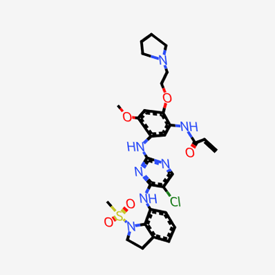 C=CC(=O)Nc1cc(Nc2ncc(Cl)c(Nc3cccc4c3N(S(C)(=O)=O)CC4)n2)c(OC)cc1OCCN1CCCC1